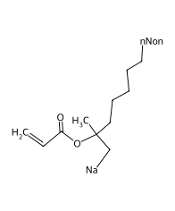 C=CC(=O)OC(C)([CH2][Na])CCCCCCCCCCCCCC